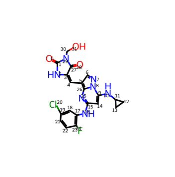 O=C1NC(=Cc2cnn3c(NC4CC4)cc(Nc4cc(Cl)ccc4F)nc23)C(=O)N1CO